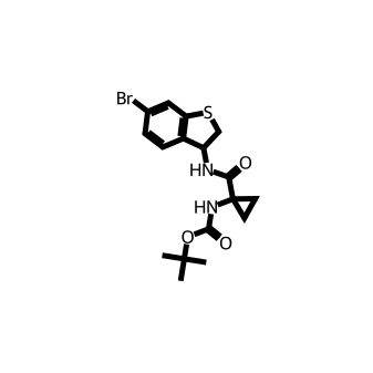 CC(C)(C)OC(=O)NC1(C(=O)NC2CSc3cc(Br)ccc32)CC1